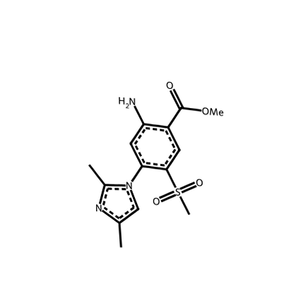 COC(=O)c1cc(S(C)(=O)=O)c(-n2cc(C)nc2C)cc1N